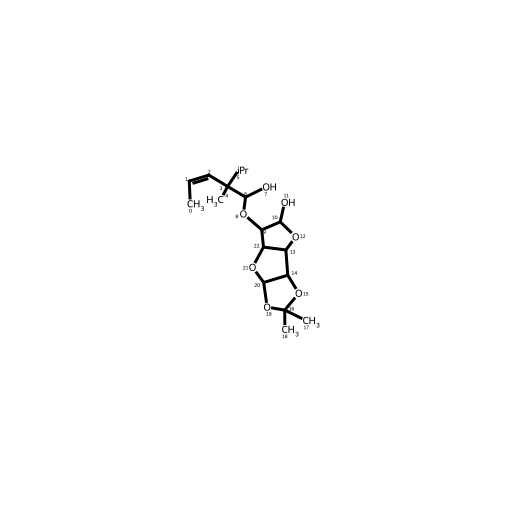 C/C=C\C(C)(C(C)C)C(O)OC1C(O)OC2C3OC(C)(C)OC3OC12